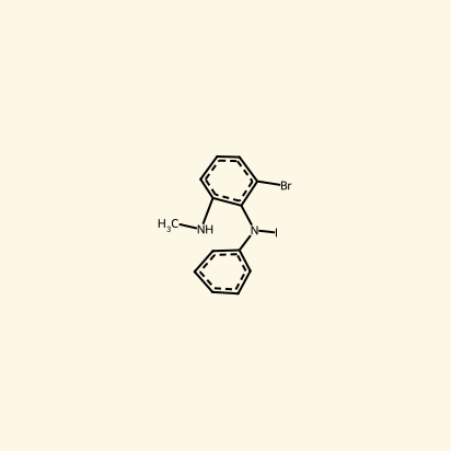 CNc1cccc(Br)c1N(I)c1ccccc1